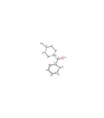 CC1CCN(C(=O)c2ccccn2)CC1